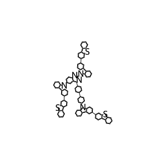 c1ccc2c(c1)sc1cc(-c3ccc4c(c3)c3ccccc3n4-c3ccc(-c4ccc(-c5nc(-n6c7ccccc7c7cc(-c8ccc9c(c8)sc8ccccc89)ccc76)nc6ccc(-n7c8ccccc8c8cc(-c9ccc%10c(c9)sc9ccccc9%10)ccc87)cc56)cc4)cc3)ccc12